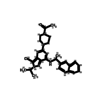 CC(=O)N1CCN(c2nc(N[C@H](C)c3cnc4ccccc4c3)c3nn(C(C)C)c(Cl)c3n2)CC1